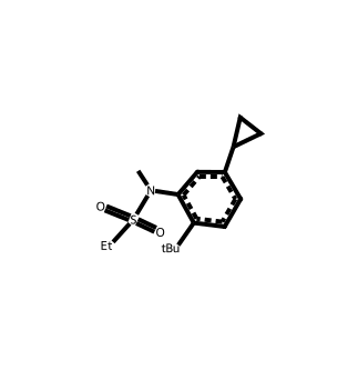 CCS(=O)(=O)N(C)c1cc(C2CC2)ccc1C(C)(C)C